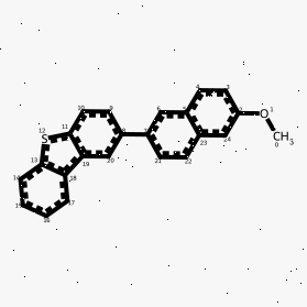 COc1ccc2cc(-c3ccc4sc5ccccc5c4c3)ccc2c1